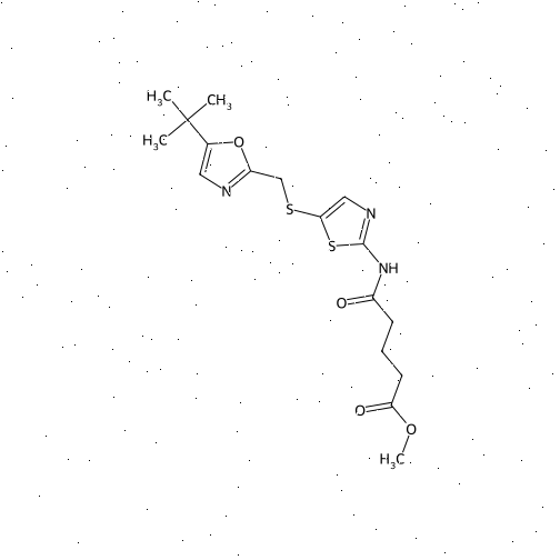 COC(=O)CCCC(=O)Nc1ncc(SCc2ncc(C(C)(C)C)o2)s1